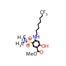 COC(=O)c1cc(S(=O)(=O)N(C)C)c(NCCCCCCCC(F)(F)F)cc1O